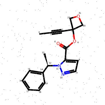 CC#CC1(OC(=O)c2ccnn2[C@H](C)c2ccccc2)COC1